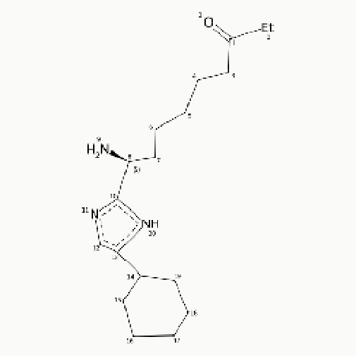 CCC(=O)CCCCC[C@H](N)c1ncc(C2CCCCC2)[nH]1